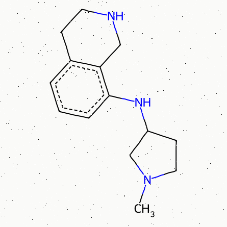 CN1CCC(Nc2cccc3c2CNCC3)C1